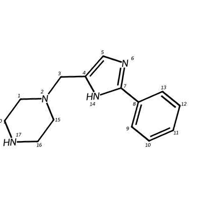 [CH]1CN(Cc2cnc(-c3ccccc3)[nH]2)CCN1